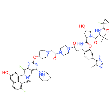 C#Cc1c(F)ccc2cc(O)cc(-c3ncc4c(N5CC6CCC(C5)N6)nc(OC5CCN(CC(=O)N6CCN(C(=O)C[C@H](NC(=O)C7C[C@H](O)CN7C(=O)C(NC(=O)C7(F)CC7)C(C)(C)C)c7ccc(-c8[nH]cnc8C)cc7)CC6)CC5)nc4c3F)c12